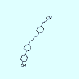 N#CC=CC1CCC(CCCCC2CCC(c3ccc(C#N)cc3)CC2)CC1